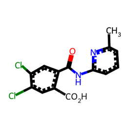 Cc1cccc(NC(=O)c2cc(Cl)c(Cl)cc2C(=O)O)n1